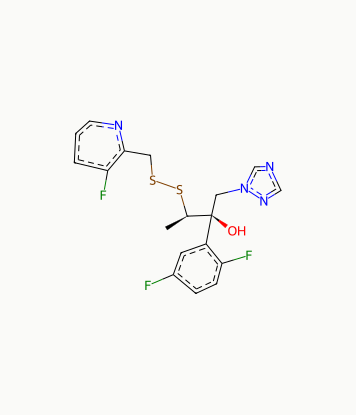 C[C@@H](SSCc1ncccc1F)[C@](O)(Cn1cncn1)c1cc(F)ccc1F